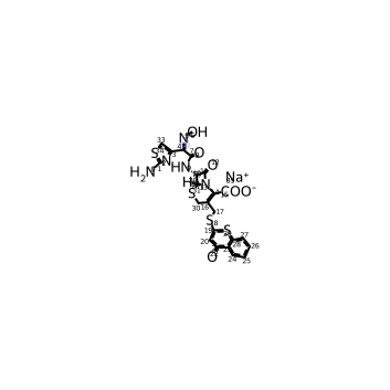 Nc1nc(/C(=N/O)C(=O)N[C@@H]2C(=O)N3C(C(=O)[O-])=C(CSc4cc(=O)c5ccccc5s4)CS[C@H]23)cs1.[Na+]